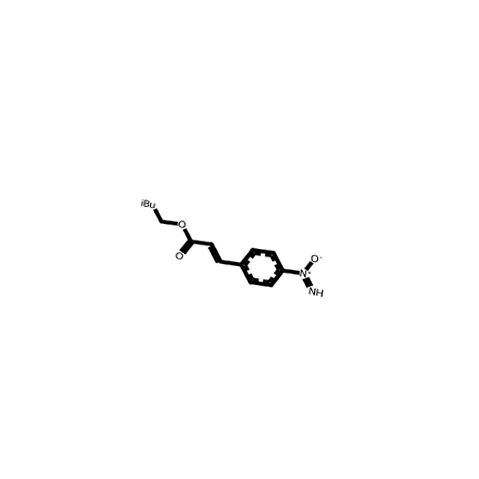 CCC(C)COC(=O)/C=C/c1ccc([N+](=N)[O-])cc1